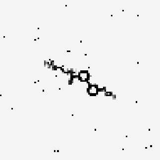 COCCNC(=O)c1cccc(-c2cccc(SC)c2)c1